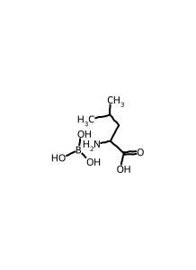 CC(C)CC(N)C(=O)O.OB(O)O